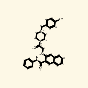 O=C(Nc1ccccc1)c1cc2ccccc2cc1OCC(=O)N1CCN(Cc2ccc(F)cc2)CC1